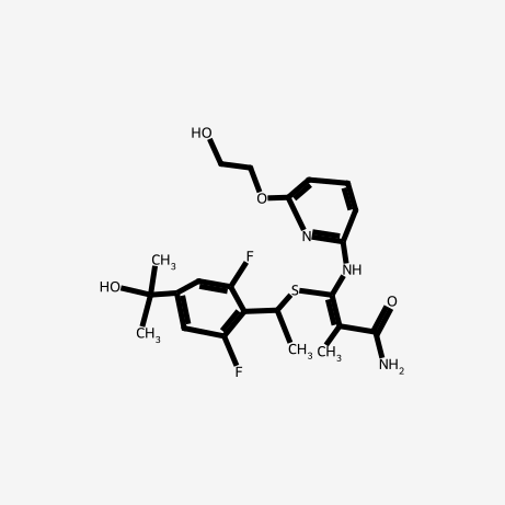 C/C(C(N)=O)=C(/Nc1cccc(OCCO)n1)SC(C)c1c(F)cc(C(C)(C)O)cc1F